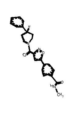 CNC(=O)c1ccc(-c2cc(C(=O)N3CCC(F)(c4ccccc4)CC3)no2)cc1